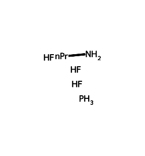 CCCN.F.F.F.P